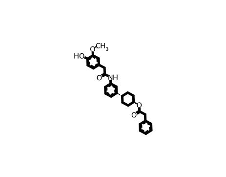 COc1cc(CC(=O)Nc2cccc([C@H]3CC[C@H](OC(=O)Cc4ccccc4)CC3)c2)ccc1O